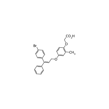 Cc1cc(OCC=C(c2ccccc2)c2ccc(Br)cc2)ccc1OCC(=O)O